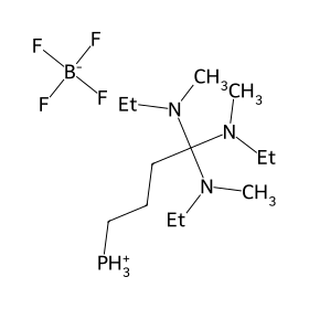 CCN(C)C(CCC[PH3+])(N(C)CC)N(C)CC.F[B-](F)(F)F